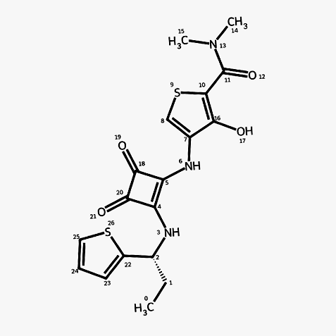 CC[C@@H](Nc1c(Nc2csc(C(=O)N(C)C)c2O)c(=O)c1=O)c1cccs1